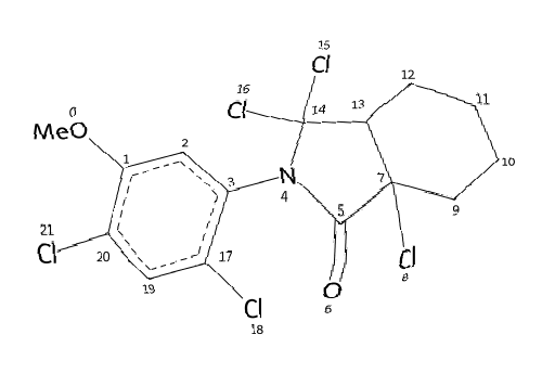 COc1cc(N2C(=O)C3(Cl)CCCCC3C2(Cl)Cl)c(Cl)cc1Cl